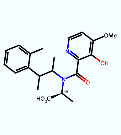 COc1ccnc(C(=O)N(C(C)C(C)c2ccccc2C)[C@@H](C)C(=O)O)c1O